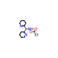 CCC(=O)ONC(c1ccccn1)c1ccccn1